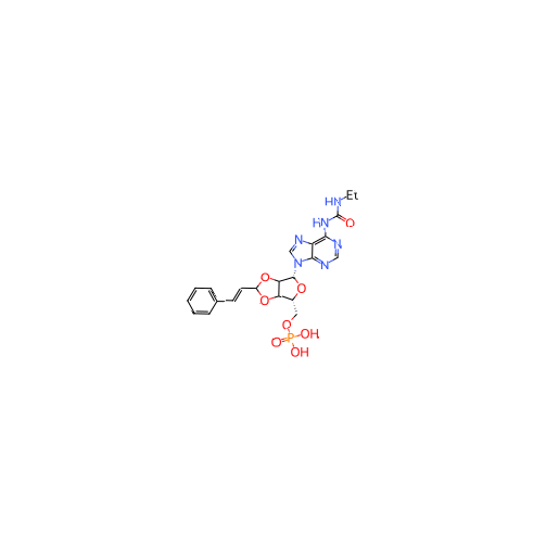 CCNC(=O)Nc1ncnc2c1ncn2[C@@H]1O[C@H](COP(=O)(O)O)C2OC(/C=C/c3ccccc3)OC21